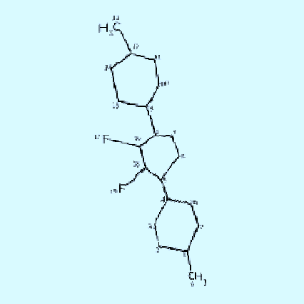 CC1CCC(C2CCC(C3CCC(C)CC3)C(F)C2F)CC1